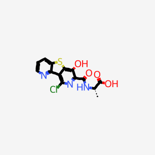 C[C@H](NC(=O)c1nc(Cl)c2c(sc3cccnc32)c1O)C(=O)O